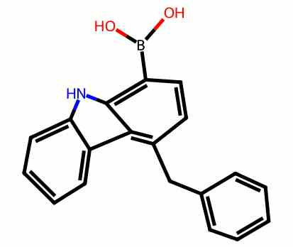 OB(O)c1ccc(Cc2ccccc2)c2c1[nH]c1ccccc12